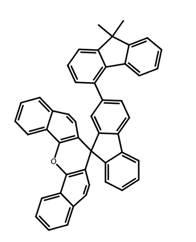 CC1(C)c2ccccc2-c2c(-c3ccc4c(c3)C3(c5ccccc5-4)c4ccc5ccccc5c4Oc4c3ccc3ccccc43)cccc21